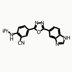 CC(C)Nc1ccc(-c2nnc(-c3ccc4[nH]cnc4c3)o2)cc1C#N